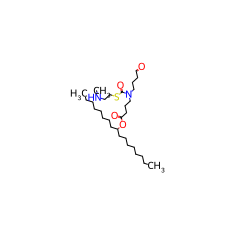 CCCCCCCCC(CCCCCCCC)OC(=O)CCCN(CCCC=O)C(=O)SCCNC